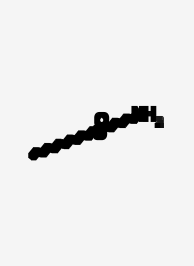 CCCCCCCCCCCCOC(=O)CCCCCN